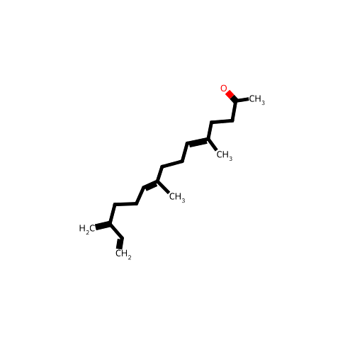 C=CC(=C)CC/C=C(\C)CC/C=C(\C)CCC(C)=O